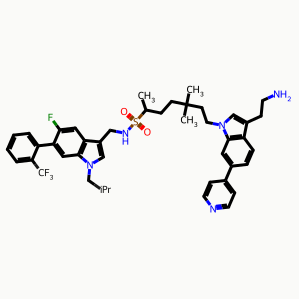 CC(C)Cn1cc(CNS(=O)(=O)C(C)CCC(C)(C)CCn2cc(CCN)c3ccc(-c4ccncc4)cc32)c2cc(F)c(-c3ccccc3C(F)(F)F)cc21